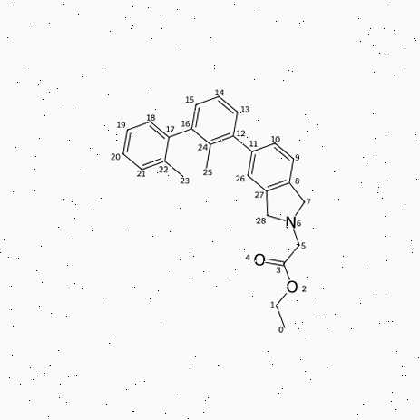 CCOC(=O)CN1Cc2ccc(-c3cccc(-c4ccccc4C)c3C)cc2C1